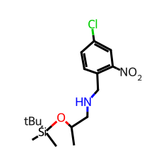 CC(CNCc1ccc(Cl)cc1[N+](=O)[O-])O[Si](C)(C)C(C)(C)C